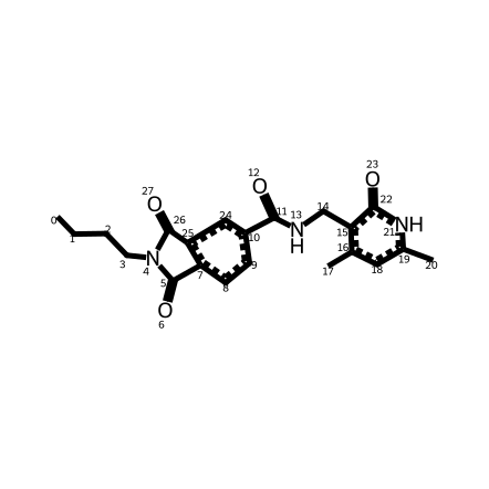 CCCCN1C(=O)c2ccc(C(=O)NCc3c(C)cc(C)[nH]c3=O)cc2C1=O